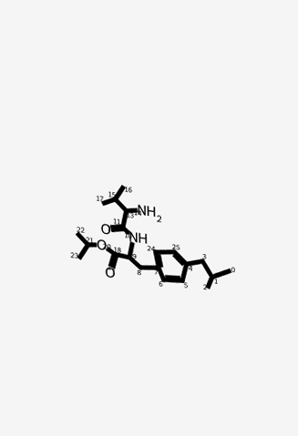 CC(C)Cc1ccc(CC(NC(=O)C(N)C(C)C)C(=O)OC(C)C)cc1